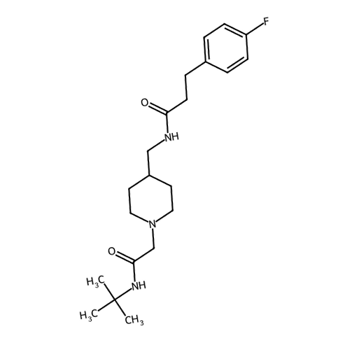 CC(C)(C)NC(=O)CN1CCC(CNC(=O)CCc2ccc(F)cc2)CC1